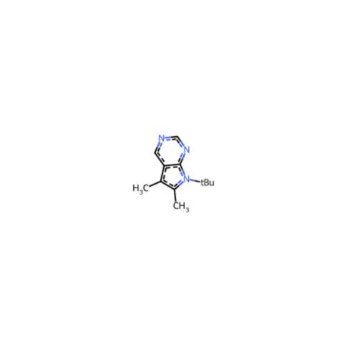 Cc1c(C)n(C(C)(C)C)c2ncncc12